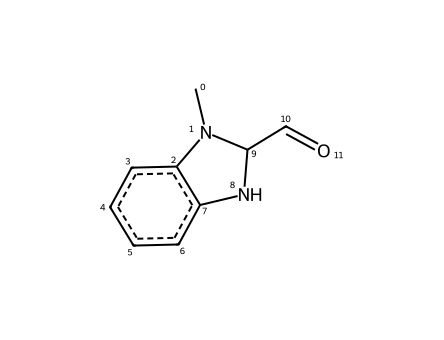 CN1c2ccccc2NC1C=O